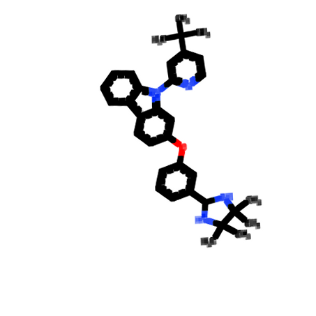 CC(C)(C)c1ccnc(-n2c3ccccc3c3ccc(Oc4cccc(C5NC(C)(C)C(C)(C)N5)c4)cc32)c1